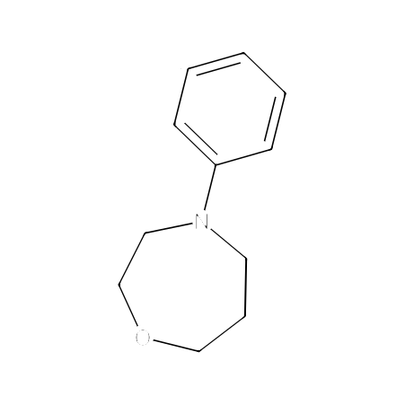 [c]1cccc(N2CCCOCC2)c1